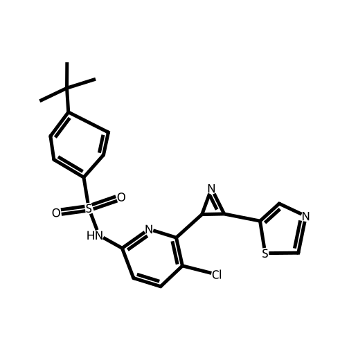 CC(C)(C)c1ccc(S(=O)(=O)Nc2ccc(Cl)c(C3N=C3c3cncs3)n2)cc1